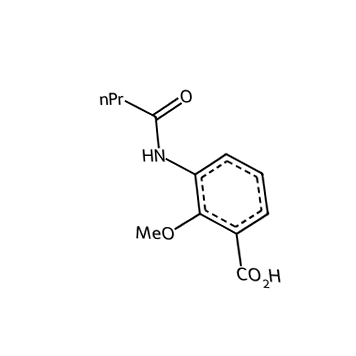 CCCC(=O)Nc1cccc(C(=O)O)c1OC